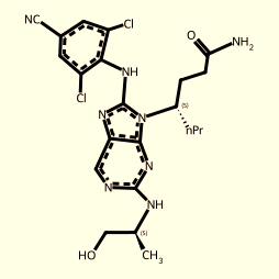 CCC[C@@H](CCC(N)=O)n1c(Nc2c(Cl)cc(C#N)cc2Cl)nc2cnc(N[C@@H](C)CO)nc21